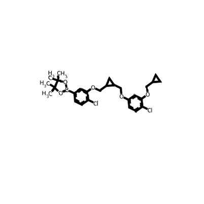 CC1(C)OB(c2ccc(Cl)c(OCC3CC3COc3ccc(Cl)c(OCC4CC4)c3)c2)OC1(C)C